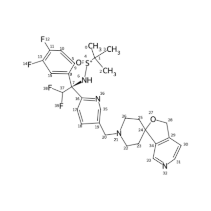 CC(C)(C)[S@@+]([O-])N[C@@](c1ccc(F)c(F)c1)(c1ccc(CN2CCC3(CC2)OCc2ccncc23)cn1)C(F)F